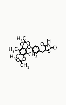 CC(=O)Oc1c(C)c(C)c(OC(C)=O)c(Oc2ccc(CC3SC(=O)NC3=O)cc2)c1C